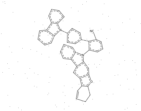 N#Cc1cccc(-n2c3ccccc3c3cc4c5c(oc4cc32)CCC=C5)c1-c1ccc(-n2c3ccccc3c3ccccc32)cc1